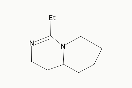 CCC1=NCCC2CCCCN12